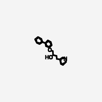 OC(CCc1cccnc1)COc1cccc(-c2ccccc2)c1